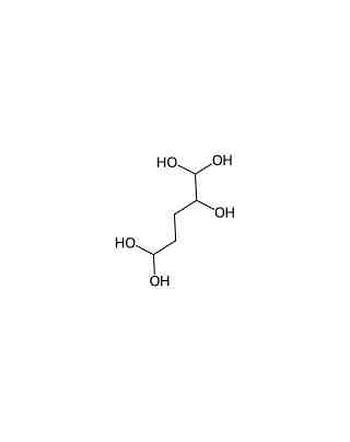 OC(O)CCC(O)C(O)O